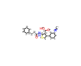 [C-]#[N+]c1cccc(-c2csc(NC(=O)CCc3ccccc3)c2C(=O)O)c1